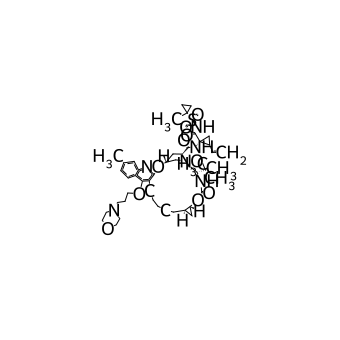 C=C[C@@H]1C[C@]1(NC(=O)[C@@H]1C[C@@H]2CN1C(=O)[C@H](C(C)(C)C)NC(=O)O[C@@H]1C[C@H]1CCCCCc1c(nc3cc(C)ccc3c1OCCCN1CCOCC1)O2)C(=O)NS(=O)(=O)C1(C)CC1